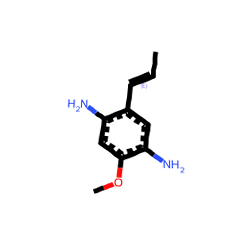 C/C=C/c1cc(N)c(OC)cc1N